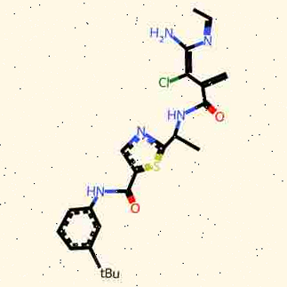 C=C(C(=O)NC(C)c1ncc(C(=O)Nc2cccc(C(C)(C)C)c2)s1)/C(Cl)=C(N)\N=C/C